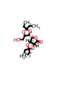 CCC1(CC)OC(CO)C([C@@H]2OC(=O)[C@@H]3OC(CC)(CC)O[C@@H]32)O1